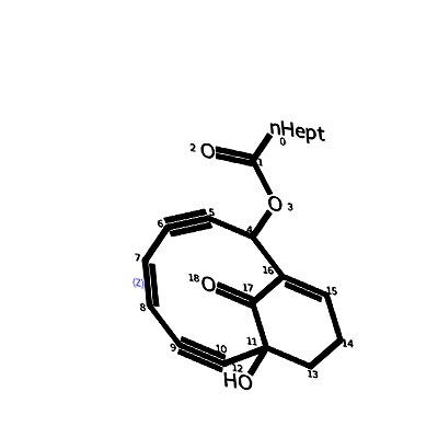 CCCCCCCC(=O)OC1C#C/C=C\C#CC2(O)CCC=C1C2=O